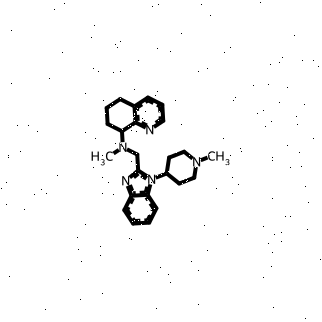 CN1CCC(n2c(CN(C)C3CCCc4cccnc43)nc3ccccc32)CC1